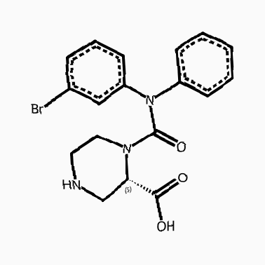 O=C(O)[C@@H]1CNCCN1C(=O)N(c1ccccc1)c1cccc(Br)c1